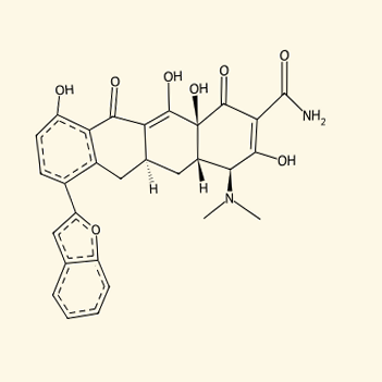 CN(C)[C@@H]1C(O)=C(C(N)=O)C(=O)[C@@]2(O)C(O)=C3C(=O)c4c(O)ccc(-c5cc6ccccc6o5)c4C[C@@H]3C[C@@H]12